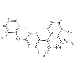 Cc1cc(Oc2c(F)cccc2F)ccc1N1C(=O)Nc2c(C)sc3nccc1c23